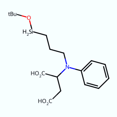 CC(C)(C)O[SiH2]CCCN(c1ccccc1)C(CC(=O)O)C(=O)O